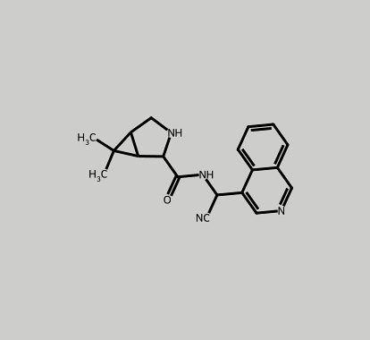 CC1(C)C2CNC(C(=O)NC(C#N)c3cncc4ccccc34)C21